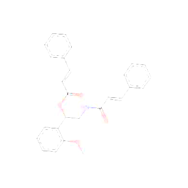 COc1ccccc1C(CNC(=O)C=Cc1ccccc1)OC(=O)C=Cc1ccccc1